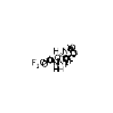 Nc1noc2cccc(-c3ccc(NC(=O)Nc4cccc(OC(F)(F)F)c4)c(F)c3F)c12